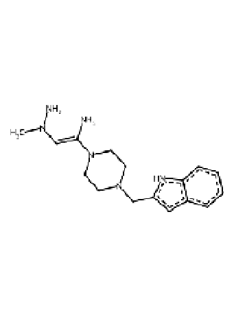 CN(N)/C=C(\N)N1CCN(Cc2cc3ccccc3[nH]2)CC1